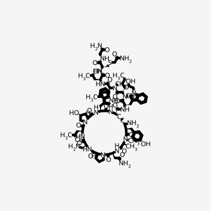 CCCC[C@@H](C(=O)N(C)[C@@H](CCCC)C(=O)N[C@@H](CC(C)C)C(=O)N[C@@H](CSCC(N)=O)C(=O)NCC(N)=O)N(C)C(=O)[C@H](Cc1cn(CC(=O)O)c2ccccc12)NC(=O)[C@@H]1CCC(N)[C@@H](Cc2ccc(O)cc2)C(=O)N(C)[C@@H](C)C(=O)N[C@@H](CC(N)=O)C(=O)N2CCC[C@H]2C(=O)N[C@@H](CN)C(=O)N[C@@H](CC(C)C)C(=O)N2C[C@H](O)C[C@H]2C(=O)N[C@@H](Cc2c[nH]c3ccccc23)C(=O)N1